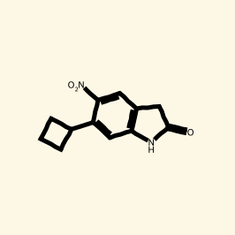 O=C1Cc2cc([N+](=O)[O-])c(C3CCC3)cc2N1